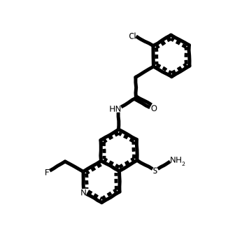 NSc1cc(NC(=O)Cc2ccccc2Cl)cc2c(CF)nccc12